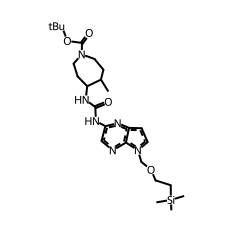 CC1CCN(C(=O)OC(C)(C)C)CCC1NC(=O)Nc1cnc2c(ccn2COCC[Si](C)(C)C)n1